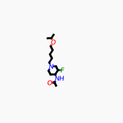 CC(=O)NC1CCN(CCCCCOC(C)C)CC1F